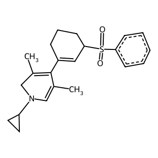 CC1=CN(C2CC2)CC(C)=C1C1=CC(S(=O)(=O)c2ccccc2)CCC1